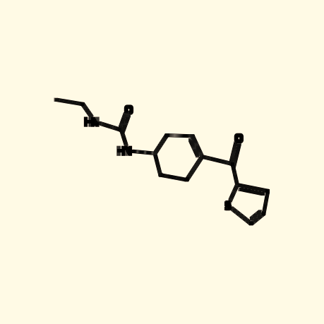 CCNC(=O)NC1CC=C(C(=O)c2cccs2)CC1